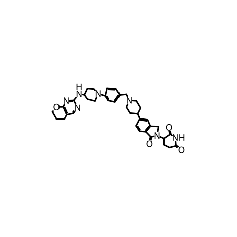 O=C1CCC(N2Cc3cc(C4CCN(Cc5ccc(N6CCC(Nc7ncc8c(n7)OCCC8)CC6)cc5)CC4)ccc3C2=O)C(=O)N1